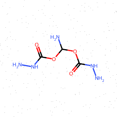 NNC(=O)OC(N)OC(=O)NN